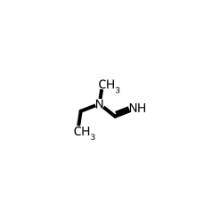 CCN(C)C=N